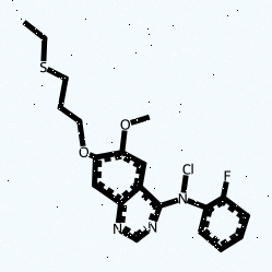 CCSCCCOc1cc2ncnc(N(Cl)c3ccccc3F)c2cc1OC